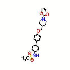 CC(C)OC(=O)N1CCC(COc2ccc(-c3ccc(NS(C)(=O)=O)cc3)cc2)CC1